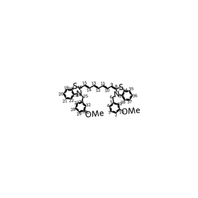 COc1cccc(CN2\C(=C/C=C/C=C/C=C/C3Sc4ccccc4N3Cc3cccc(OC)c3)Sc3ccccc32)c1